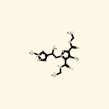 CCOC(=O)c1nn(CC(O)c2cnn(C)c2)c(C(=O)OCC)c1C